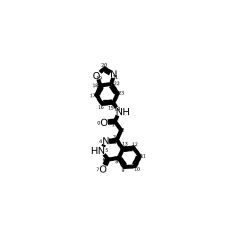 O=C(Cc1n[nH]c(=O)c2ccccc12)Nc1ccc2ocnc2c1